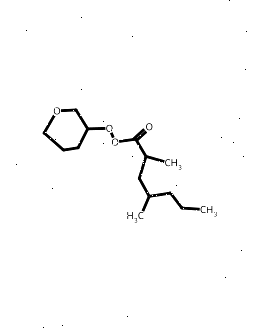 CCCC(C)CC(C)C(=O)OOC1CCCOC1